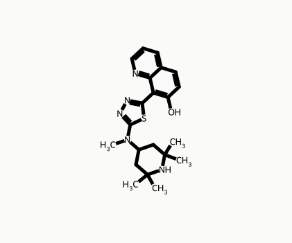 CN(c1nnc(-c2c(O)ccc3cccnc23)s1)C1CC(C)(C)NC(C)(C)C1